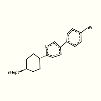 CCCCCCC[C@H]1CC[C@H](c2ccc(-c3ccc(CCC)cc3)cn2)CC1